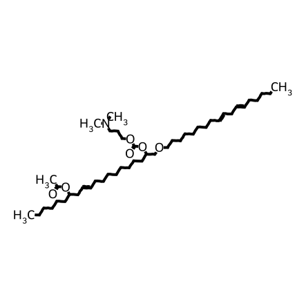 CCCCCC=CCC=CCCCCCCCCOCC(CCCCCCCCC=CCC(CCCCCC)OC(C)=O)OC(=O)OCCCN(C)C